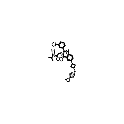 COC1CN(C[C@H]2C[C@H](c3ccc4nc(-c5cccc(Cl)c5)n(CC(=O)NC(C)C)c(=O)c4c3)C2)C1